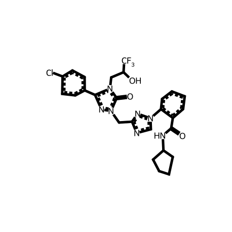 O=C(NC1CCCC1)c1ccccc1-n1cnc(Cn2nc(-c3ccc(Cl)cc3)n(CC(O)C(F)(F)F)c2=O)n1